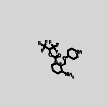 NC1CCCN(C(=O)OC(C(F)(F)F)C(F)(F)F)[C@H]1COC1CCNCC1